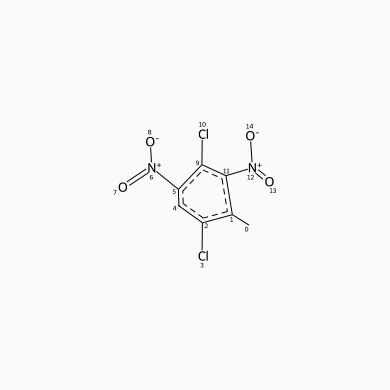 Cc1c(Cl)cc([N+](=O)[O-])c(Cl)c1[N+](=O)[O-]